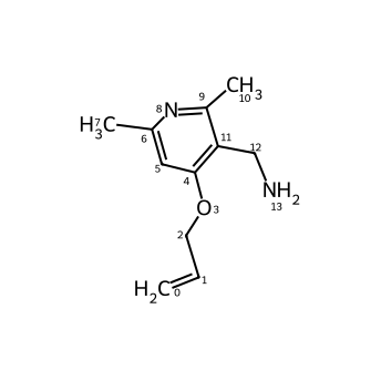 C=CCOc1cc(C)nc(C)c1CN